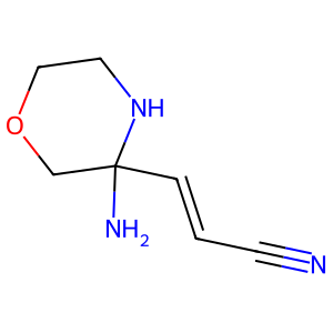 N#CC=CC1(N)COCCN1